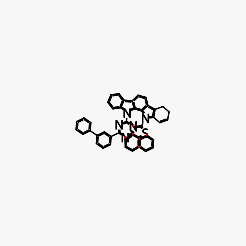 C1=Cc2c(c3ccc4c5ccccc5n(-c5nc(-c6ccccc6)nc(-c6cccc(-c7ccccc7)c6)n5)c4c3n2-c2nc3ccccc3s2)CC1